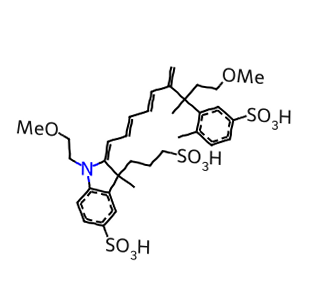 C=C(/C=C/C=C/C=C1/N(CCOC)c2ccc(S(=O)(=O)O)cc2C1(C)CCCS(=O)(=O)O)C(C)(CCOC)c1cc(S(=O)(=O)O)ccc1C